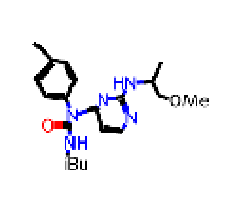 CCC(C)NC(=O)N(c1ccc(C)cc1)c1ccnc(NC(C)COC)n1